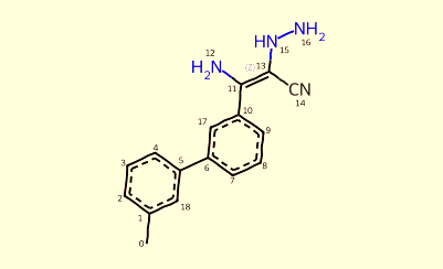 Cc1cccc(-c2cccc(/C(N)=C(\C#N)NN)c2)c1